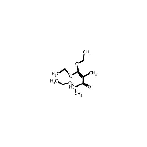 CCOC(OCC)=C(C)C(=O)[SiH](C)OCC